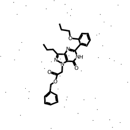 CCCOc1ccccc1-c1nc2c(CCC)nn(CC(=O)OCc3ccccc3)c2c(=O)[nH]1